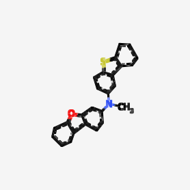 CN(c1ccc2c(c1)oc1ccccc12)c1ccc2sc3ccccc3c2c1